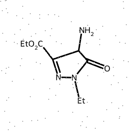 CCOC(=O)C1=NN(CC)C(=O)C1N